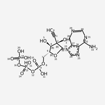 C#C[C@@]1(O)[C@H](O)[C@@H](COP(=O)(O)OP(=O)(O)OP(=O)(O)O)O[C@H]1n1cnc2c1CN=CN=C2N